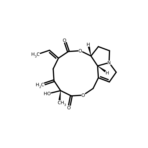 C=C1C/C(=C\C)C(=O)O[C@@H]2CCN3CC=C(COC(=O)[C@]1(C)O)[C@H]23